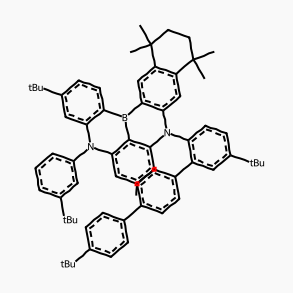 Cc1cc2c3c(c1)N(c1ccc(C(C)(C)C)cc1-c1ccc(-c4ccc(C(C)(C)C)cc4)cc1)c1cc4c(cc1B3c1ccc(C(C)(C)C)cc1N2c1cccc(C(C)(C)C)c1)C(C)(C)CCC4(C)C